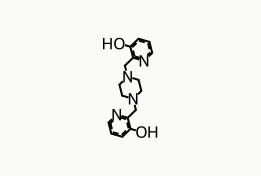 Oc1cccnc1CN1CCN(Cc2ncccc2O)CC1